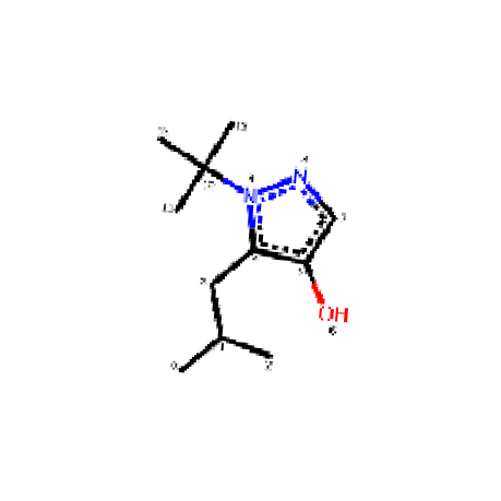 CC(C)Cc1c(O)cnn1C(C)(C)C